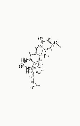 COc1cnn(Cc2cc3c(cc2F)[C@@](C#CC2CC2)(C(C)(F)F)NC(=O)N3)c(=O)c1